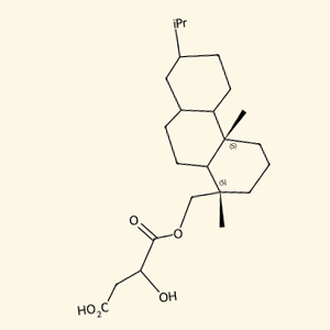 CC(C)C1CCC2C(CCC3[C@@](C)(COC(=O)C(O)CC(=O)O)CCC[C@@]23C)C1